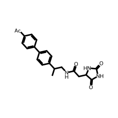 CC(=O)c1ccc(-c2ccc(C(C)CNC(=O)CC3NC(=O)NC3=O)cc2)cc1